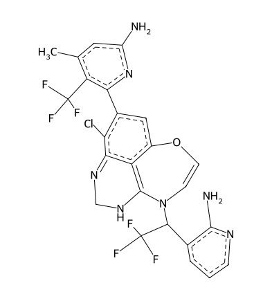 Cc1cc(N)nc(-c2cc3c4c(c2Cl)=NCNC=4N(C(c2cccnc2N)C(F)(F)F)C=CO3)c1C(F)(F)F